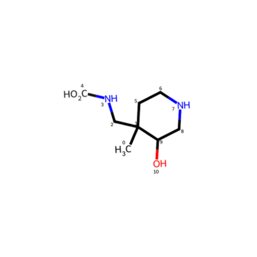 CC1(CNC(=O)O)CCNCC1O